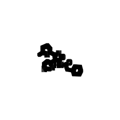 Cc1cccc(-c2noc(NC(=O)Cc3ccccc3)c2-c2ccncn2)n1